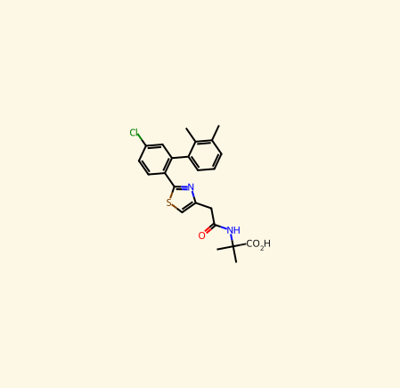 Cc1cccc(-c2cc(Cl)ccc2-c2nc(CC(=O)NC(C)(C)C(=O)O)cs2)c1C